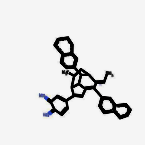 C/C=C1/C(c2ccc3ccccc3c2)=C2C=C(C3=CC(=N)C(=N)C=C3)C3C(C)CC1C(c1ccc4ccccc4c1)C23